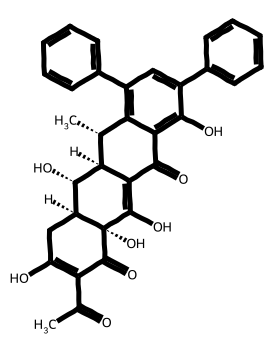 CC(=O)C1=C(O)C[C@H]2[C@H](O)[C@@H]3C(=C(O)[C@@]2(O)C1=O)C(=O)c1c(O)c(-c2ccccc2)cc(-c2ccccc2)c1[C@H]3C